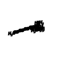 COCCOCCOCCOCCOCCOCCOCCOCCNC(=O)c1cc(N)ccc1CO[Si](C(C)C)(C(C)C)C(C)C